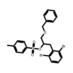 Cc1ccc(S(=O)(=O)OC(COCc2ccccc2)Cc2c(Br)cccc2Br)cc1